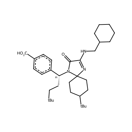 CC(C)(C)CC[C@H](c1ccc(C(=O)O)cc1)N1C(=O)C(NCC2CCCCC2)=NC12CCC(C(C)(C)C)CC2